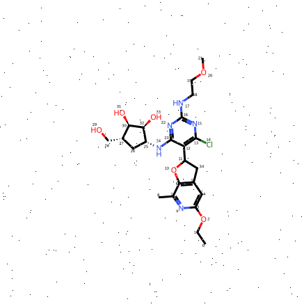 CCOc1cc2c(c(C)n1)OC(c1c(Cl)nc(NCCOC)nc1N[C@@H]1C[C@H](CO)[C@@H](O)[C@H]1O)C2